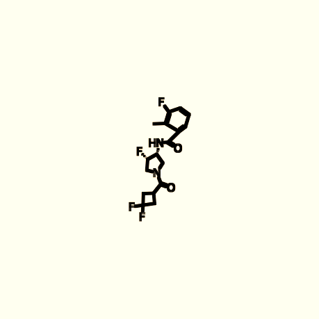 Cc1c(F)cccc1C(=O)N[C@@H]1CN(C(=O)C2CC(F)(F)C2)C[C@@H]1F